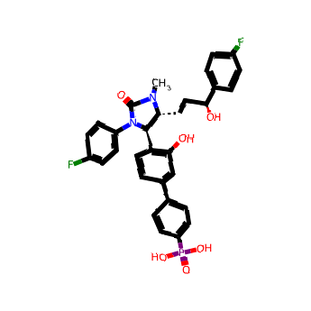 CN1C(=O)N(c2ccc(F)cc2)[C@H](c2ccc(-c3ccc(P(=O)(O)O)cc3)cc2O)[C@H]1CC[C@H](O)c1ccc(F)cc1